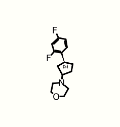 Fc1ccc([C@H]2CCC(N3CCOCC3)C2)c(F)c1